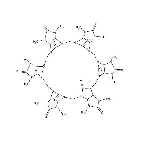 CN1C(=O)N(C)C2C1N1CN3C(=O)N(CN4C(=O)N(CN5C(=O)N(CN6C(=O)N(CN7C(=O)N(CN2C1=O)C1C7N(C)C(=O)N1C)C1C6N(C)C(=O)N1C)C1C5N(C)C(=O)N1C)C1C4N(C)C(=O)N1C)C1C3N(C)C(=O)N1C